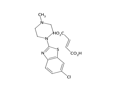 CN1CCN(c2nc3ccc(Cl)cc3s2)CC1.O=C(O)C=CC(=O)O